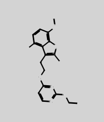 CCOc1nccc(NCCc2c(C)sc3c(OC)ccc(F)c23)n1